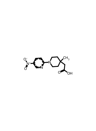 CC1(CC(=O)O)CCN(c2ccc([N+](=O)[O-])cn2)CC1